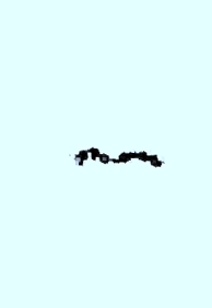 C[C@@H]1CN(CCO[C@H]2CC[C@H](N3C(=S)N(c4ccc(C#N)c(C(F)(F)F)c4)C(=O)C3(C)C)CC2)C[C@H](C)N1CC(=O)Nc1ccc(C2CCC(=O)NC2=O)nc1